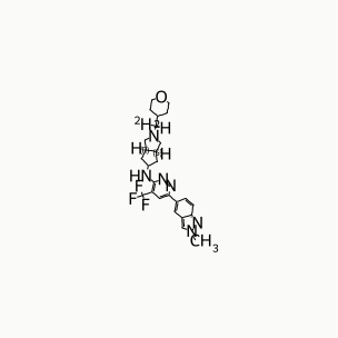 [2H]C([2H])(C1CCOCC1)N1C[C@H]2CC(Nc3nnc(-c4ccc5nn(C)cc5c4)cc3C(F)(F)F)C[C@H]2C1